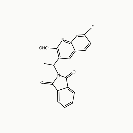 CC(c1cc2ccc(F)cc2nc1C=O)N1C(=O)c2ccccc2C1=O